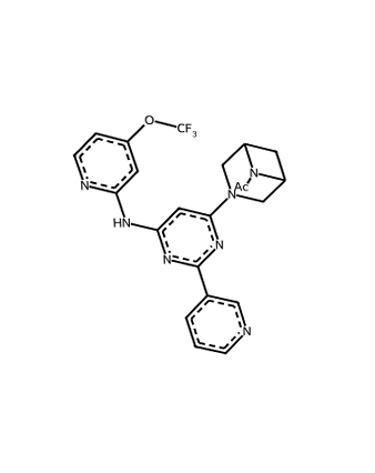 CC(=O)N1C2CC1CN(c1cc(Nc3cc(OC(F)(F)F)ccn3)nc(-c3cccnc3)n1)C2